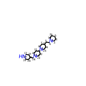 C1CCN(CCC2CCN(C3CCN(CC4CCNCC4)CC3)CC2)CC1